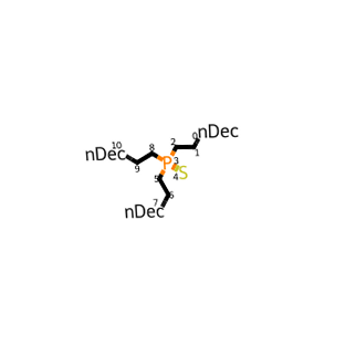 CCCCCCCCCCCCP(=S)(CCCCCCCCCCCC)CCCCCCCCCCCC